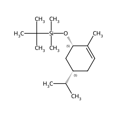 CC1=CC[C@H](C(C)C)C[C@@H]1O[Si](C)(C)C(C)(C)C